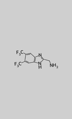 NCc1nc2cc(C(F)(F)F)c(C(F)(F)F)cc2[nH]1